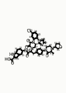 CC1C(=O)N(c2ccc(CC(C(=O)Nc3ccc4[nH]c(C(=O)O)cc4c3)N3CCN(c4cc(Cl)ccc4-n4cnnn4)C(=O)C3=O)cc2)CCN1C1CCOC1